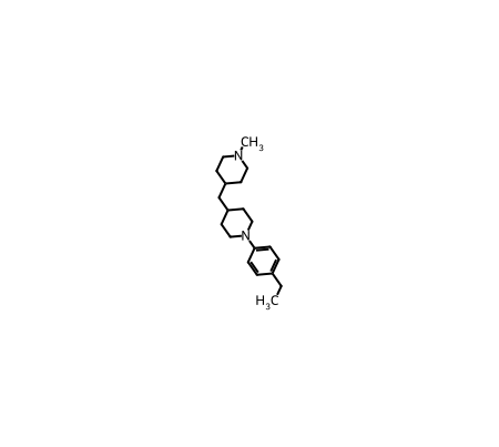 CCc1ccc(N2CCC(CC3CCN(C)CC3)CC2)cc1